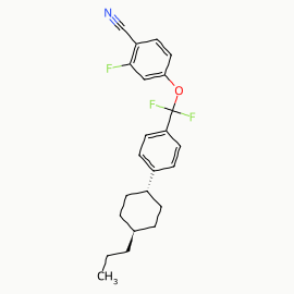 CCC[C@H]1CC[C@H](c2ccc(C(F)(F)Oc3ccc(C#N)c(F)c3)cc2)CC1